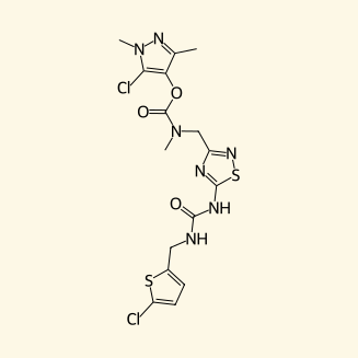 Cc1nn(C)c(Cl)c1OC(=O)N(C)Cc1nsc(NC(=O)NCc2ccc(Cl)s2)n1